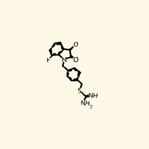 N=C(N)SCc1ccc(CN2C(=O)C(=O)c3cccc(F)c32)cc1